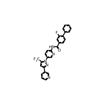 O=C(Nc1ccc(-n2nc(-c3cccnc3)cc2C(F)(F)F)cn1)c1ccc(-c2ccccc2)c(F)c1